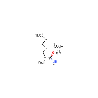 CC(=O)O.CCCCCCCCCCCCCCC(CCCC)C(N)=O